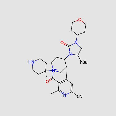 CCCCC1CN(C2CCOCC2)C(=O)N1C1CC[N+](C(=O)c2c(C)cc(C#N)nc2C)(C2(C)CCNCC2)CC1